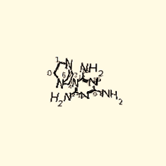 C1CN2CCN1CC2.Nc1nc(N)nc(N)n1